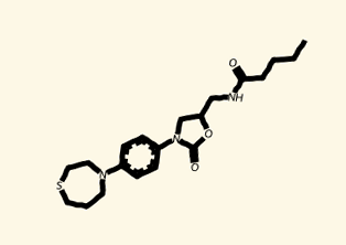 CCCCC(=O)NCC1CN(c2ccc(N3CCCSCC3)cc2)C(=O)O1